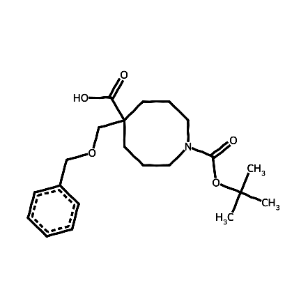 CC(C)(C)OC(=O)N1CCCC(COCc2ccccc2)(C(=O)O)CCC1